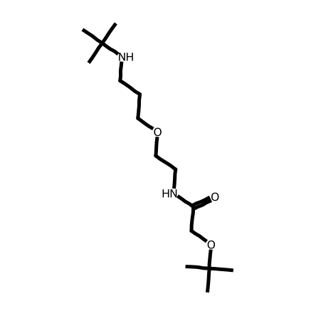 CC(C)(C)NCCCOCCNC(=O)COC(C)(C)C